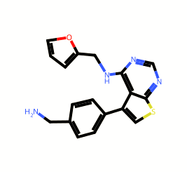 NCc1ccc(-c2csc3ncnc(NCc4ccco4)c23)cc1